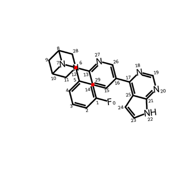 Fc1cccc(CN2C3CC2CN(c2ccc(-c4ncnc5[nH]ccc45)cn2)C3)c1